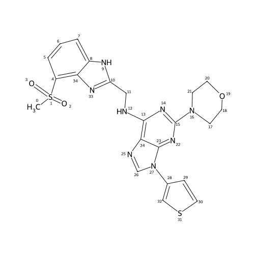 CS(=O)(=O)c1cccc2[nH]c(CNc3nc(N4CCOCC4)nc4c3ncn4-c3ccsc3)nc12